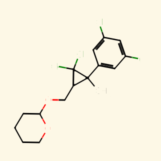 CC1(c2cc(Cl)cc(Cl)c2)C(COC2CCCCO2)C1(Cl)Cl